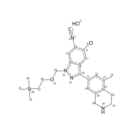 Cl.[C-]#[N+]c1cc2c(cc1Cl)c(-c1cc(C)c3c(c1)CNCC3)nn2COCC[Si](C)(C)C